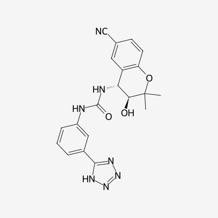 CC1(C)Oc2ccc(C#N)cc2[C@@H](NC(=O)Nc2cccc(-c3nnn[nH]3)c2)[C@@H]1O